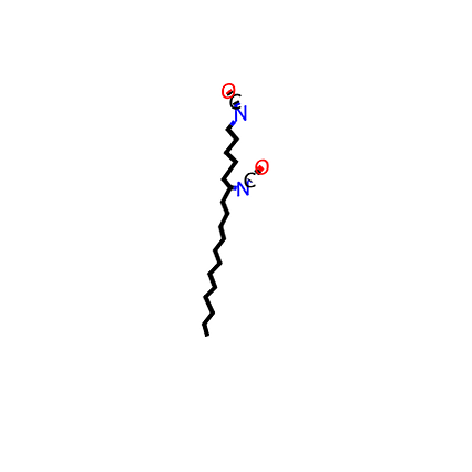 CCCCCCCCCCCCC(CCCCCN=C=O)N=C=O